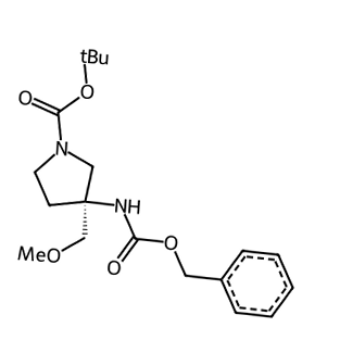 COC[C@]1(NC(=O)OCc2ccccc2)CCN(C(=O)OC(C)(C)C)C1